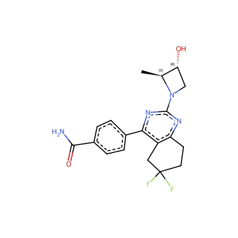 C[C@H]1[C@H](O)CN1c1nc2c(c(-c3ccc(C(N)=O)cc3)n1)CC(F)(F)CC2